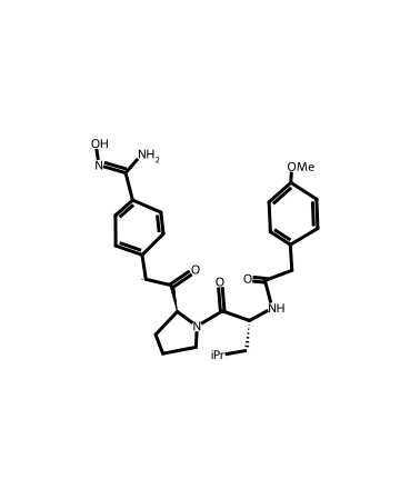 COc1ccc(CC(=O)N[C@H](CC(C)C)C(=O)N2CCC[C@H]2C(=O)[CH]c2ccc(C(N)=NO)cc2)cc1